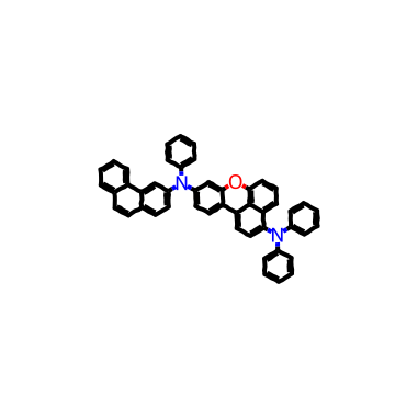 c1ccc(N(c2ccc3c(c2)Oc2cccc4c(N(c5ccccc5)c5ccccc5)ccc-3c24)c2ccc3ccc4ccccc4c3c2)cc1